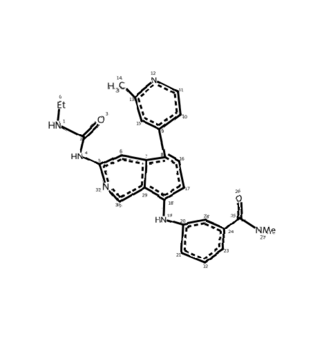 CCNC(=O)Nc1cc2c(-c3ccnc(C)c3)ccc(Nc3cccc(C(=O)NC)c3)c2cn1